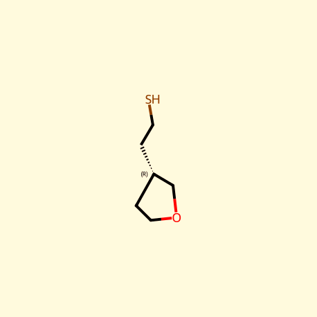 SCC[C@H]1CCOC1